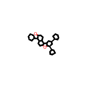 c1ccc(-c2cc(-c3ccccc3)c3oc4ccc5c(ccc6oc7ccccc7c65)c4c3c2)cc1